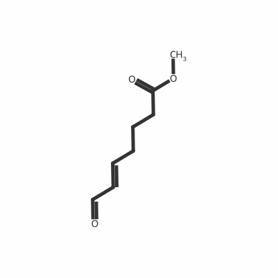 COC(=O)CCCC=CC=O